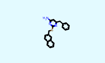 Nc1cc(Cc2ccccc2)nc(SCc2ccc3ccccc3c2)n1